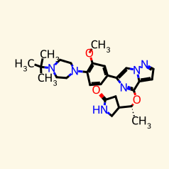 COc1cc(-c2cn3nccc3c(O[C@H](C)C3CNC(=O)C3)n2)ccc1N1CCN(C(C)(C)C)CC1